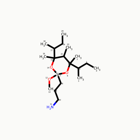 CCC(C)C1(C)O[Si](CCCN)(OC)OC(C)(C(C)CC)C1C